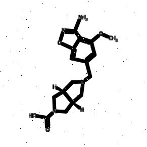 COc1cc(CN2C[C@@H]3CN(C(=O)O)C[C@@H]3C2)cc2onc(N)c12